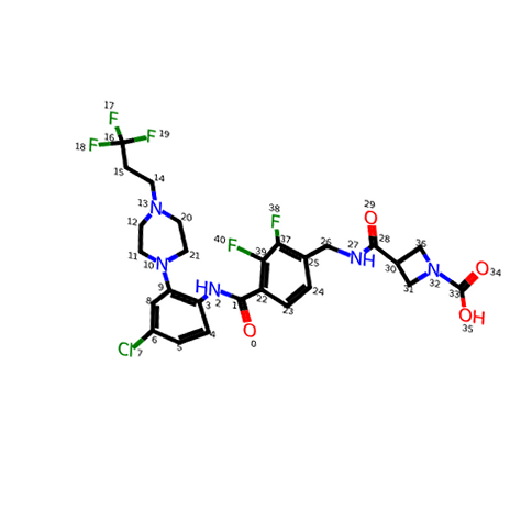 O=C(Nc1ccc(Cl)cc1N1CCN(CCC(F)(F)F)CC1)c1ccc(CNC(=O)C2CN(C(=O)O)C2)c(F)c1F